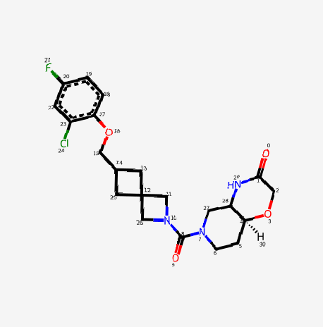 O=C1CO[C@H]2CCN(C(=O)N3CC4(CC(COc5ccc(F)cc5Cl)C4)C3)CC2N1